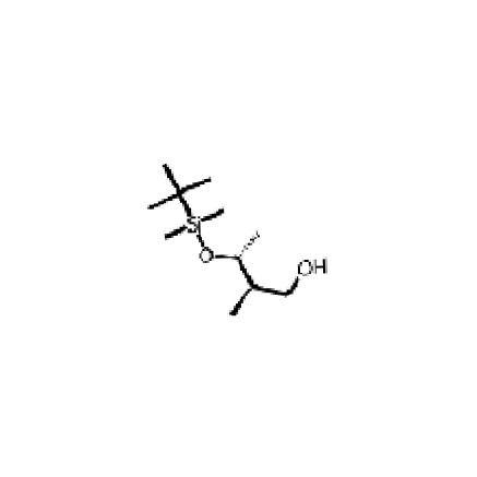 C[C@H](CO)[C@@H](C)O[Si](C)(C)C(C)(C)C